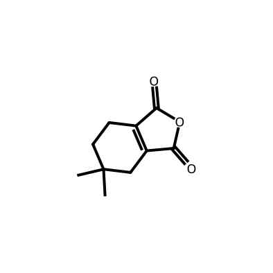 CC1(C)CCC2=C(C1)C(=O)OC2=O